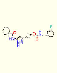 CC1(C(=O)Nc2cc(C3CC(OC(=O)NCc4cccc(F)c4)C3)n[nH]2)CCCCC1